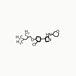 CC(C)CC(C)COc1ccc(-c2ccnc(NC3CCCOC3)c2)cc1Cl